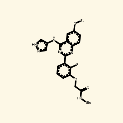 CCOc1ccc2nc(-c3cccc(OCC(=O)NC(C)(C)C)c3F)nc(Nc3cn[nH]c3)c2c1